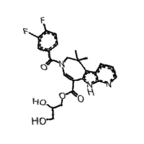 CC1(C)CN(C(=O)c2ccc(F)c(F)c2)C=C(C(=O)OCC(O)CO)c2[nH]c3ncccc3c21